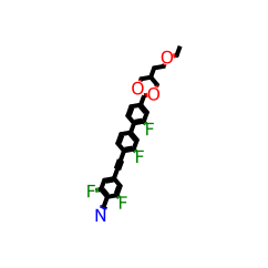 CCOCCC1COC(c2ccc(-c3ccc(C#Cc4cc(F)c(C#N)c(F)c4)c(F)c3)c(F)c2)OC1